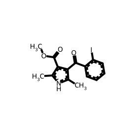 COC(=O)c1c(C)[nH]c(C)c1C(=O)c1ccccc1I